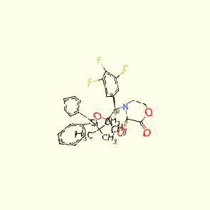 C[C@@H](O[Si](c1ccccc1)(c1ccccc1)C(C)(C)C)[C@@H](c1cc(F)c(F)c(F)c1)N1CCOC(=O)C1=O